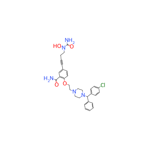 NC(=O)c1cc(C#CCCN(O)C(N)=O)ccc1OCCN1CCN(C(c2ccccc2)c2ccc(Cl)cc2)CC1